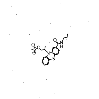 CCCNC(=O)c1ccc2c(c1)N([C@H](C)COS(C)(=O)=O)c1ccccc1S2